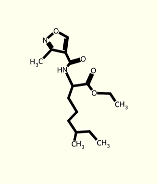 CCOC(=O)C(CCCC(C)CC)NC(=O)c1conc1C